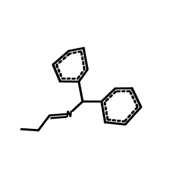 CCC=NC(c1ccccc1)c1ccccc1